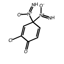 N=[N+]([O-])C1([N+](=N)[O-])C=CC(=O)C(Cl)=C1